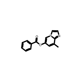 Cc1cc(OC(=O)c2ccccc2)cn2ccnc12